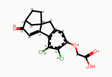 O=C(O)COc1cc2c(c(Cl)c1Cl)C1=CC(=O)C3CCC1(C2)C3